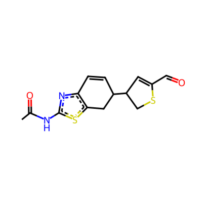 CC(=O)Nc1nc2c(s1)CC(C1C=C(C=O)SC1)C=C2